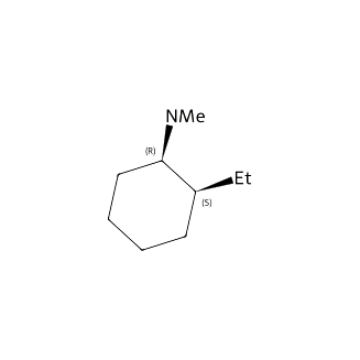 CC[C@H]1CCCC[C@H]1NC